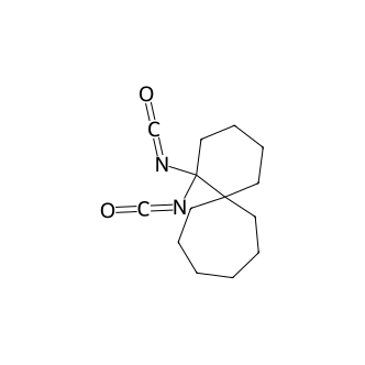 O=C=NC1(N=C=O)CCCCC12CCCCCC2